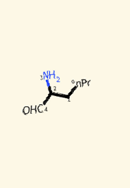 CCCCC(N)C=O